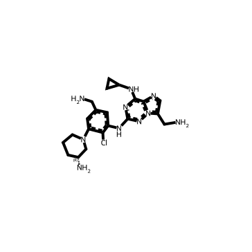 NCc1cc(Nc2nc(NC3CC3)c3ncc(CN)n3n2)c(Cl)c(N2CCC[C@@H](N)C2)c1